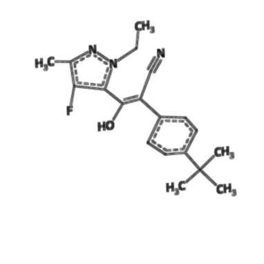 CCn1nc(C)c(F)c1C(O)=C(C#N)c1ccc(C(C)(C)C)cc1